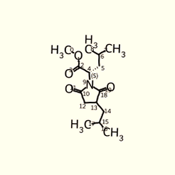 COC(=O)[C@H](CC(C)C)N1C(=O)CC(CC(C)C)C1=O